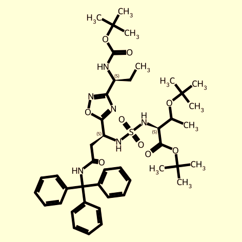 CC[C@H](NC(=O)OC(C)(C)C)c1noc([C@H](CC(=O)NC(c2ccccc2)(c2ccccc2)c2ccccc2)NS(=O)(=O)N[C@H](C(=O)OC(C)(C)C)C(C)OC(C)(C)C)n1